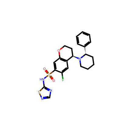 O=S(=O)(Nc1ncns1)c1cc2c(cc1F)[C@H](N1CCCC[C@H]1c1ccccc1)CCO2